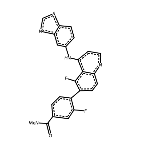 CNC(=O)c1ccc(-c2ccc3nccc(Nc4ccc5scnc5c4)c3c2F)c(F)c1